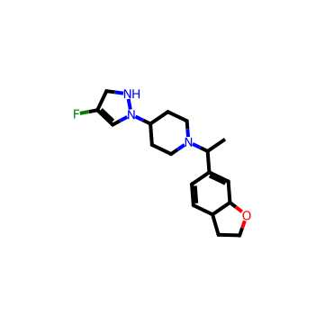 CC(C1=CC2OCCC2C=C1)N1CCC(N2C=C(F)CN2)CC1